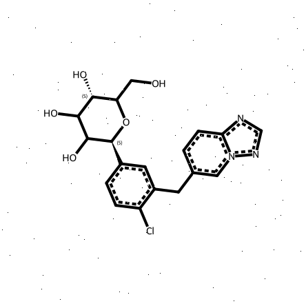 OCC1O[C@@H](c2ccc(Cl)c(Cc3ccc4ncnn4c3)c2)C(O)C(O)[C@@H]1O